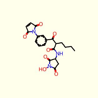 CCCCC(C(=O)NC1CC(=O)N(O)C1=O)C(=O)c1cccc(N2C(=O)C=CC2=O)c1